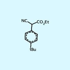 CCOC(=O)C(C#N)c1ccc(C(C)(C)C)cc1